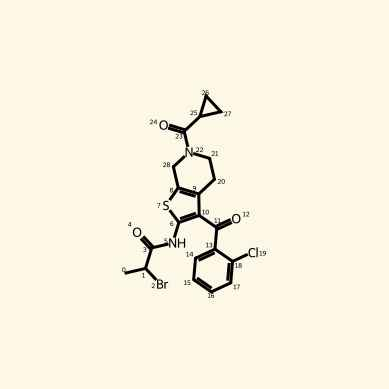 CC(Br)C(=O)Nc1sc2c(c1C(=O)c1ccccc1Cl)CCN(C(=O)C1CC1)C2